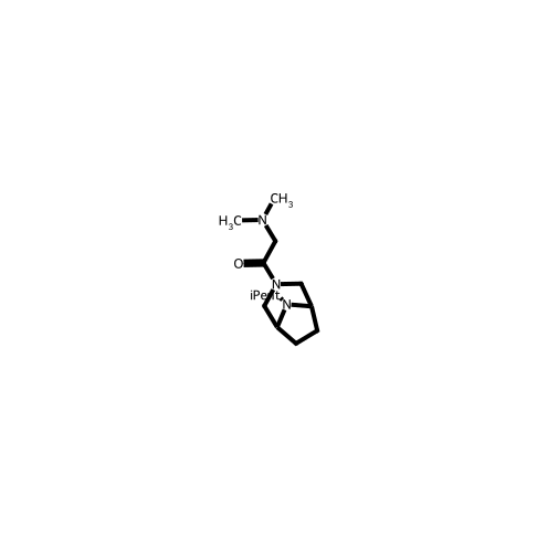 CCCC(C)N1C2CCC1CN(C(=O)CN(C)C)C2